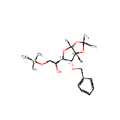 CC1(C)O[C@H]2O[C@H](C(O)CO[Si](C)(C)C(C)(C)C)[C@@H](OCc3ccccc3)[C@H]2O1